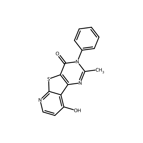 Cc1nc2c(sc3nccc(O)c32)c(=O)n1-c1ccccc1